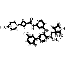 CN1CCN(C2CC(C(=O)Nc3cc(Nc4cc(-c5cc(Cl)ccc5F)nnc4N(C)CC4(C)C(=O)NC(=O)C4=O)ccn3)C2)CC1